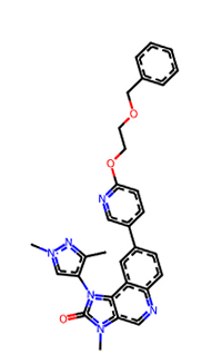 Cc1nn(C)cc1-n1c(=O)n(C)c2cnc3ccc(-c4ccc(OCCOCc5ccccc5)nc4)cc3c21